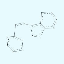 C(=C/n1cnc2ccccc21)/c1ccccc1